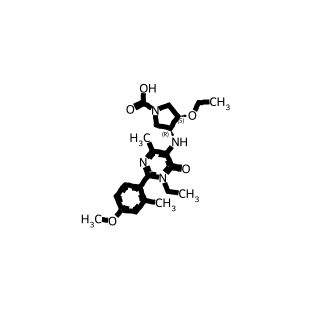 CCO[C@H]1CN(C(=O)O)C[C@H]1Nc1c(C)nc(-c2ccc(OC)cc2C)n(CC)c1=O